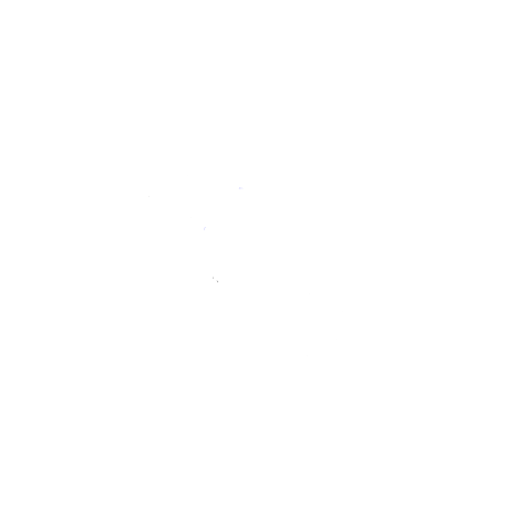 C=C/C(Cl)=C(C1=NCC(c2ccc(F)c(F)c2)=C1)\C(Cl)=C/C